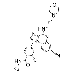 N#Cc1ccc2c(c1)nc(NCCCN1CCOCC1)c1ncc(-c3ccc(C(=O)NC4CC4)c(Cl)c3)n12